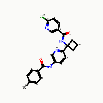 N#Cc1ccc(C(=O)Nc2ccc(C3(NC(=O)c4ccc(Cl)nc4)CCC3)nc2)cc1